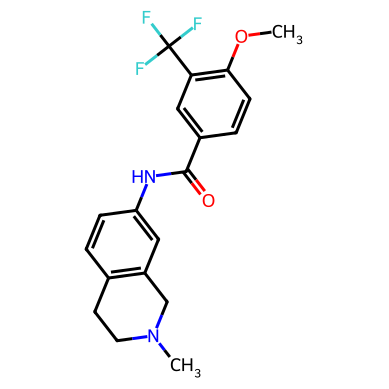 COc1ccc(C(=O)Nc2ccc3c(c2)CN(C)CC3)cc1C(F)(F)F